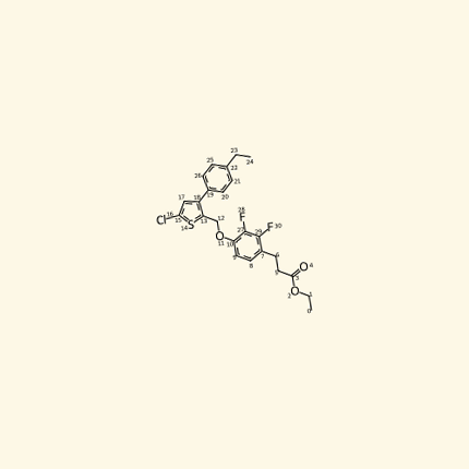 CCOC(=O)CCc1ccc(OCc2sc(Cl)cc2-c2ccc(CC)cc2)c(F)c1F